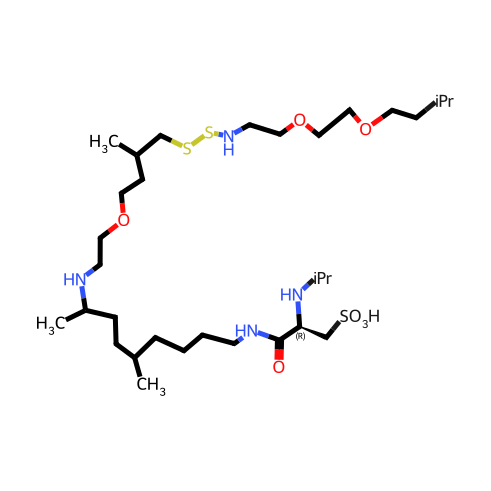 CC(C)CCOCCOCCNSSCC(C)CCOCCNC(C)CCC(C)CCCCNC(=O)[C@H](CS(=O)(=O)O)NC(C)C